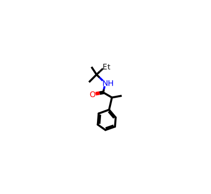 CCC(C)(C)NC(=O)C(C)c1ccccc1